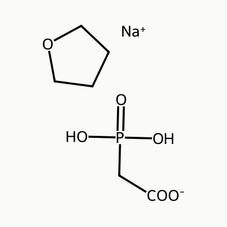 C1CCOC1.O=C([O-])CP(=O)(O)O.[Na+]